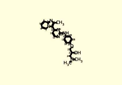 Cc1nc2ccccn2c1-c1ccnc(Nc2ccc(OCC(O)CN(C)C)cc2)n1